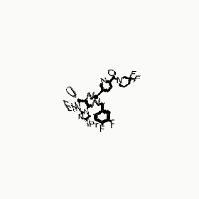 CCN1C(=O)c2nc(-c3ccc(C(=O)N4CCCC(F)(F)C4)nc3)n(Cc3ccc(F)c(F)c3)c2N2C[C@@H](C(C)C)N=C12